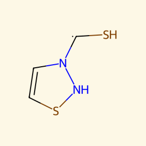 S[CH]N1C=CSN1